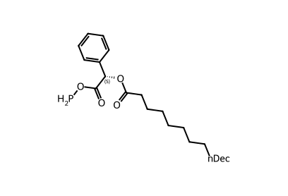 CCCCCCCCCCCCCCCCCC(=O)O[C@H](C(=O)OP)c1ccccc1